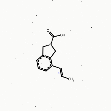 C/C=C/c1cccc2c1CN(C(=O)O)C2